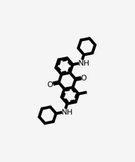 Cc1cc(NC2CCCCC2)cc2c1C(=O)c1c(NC3CCCCC3)cccc1C2=O